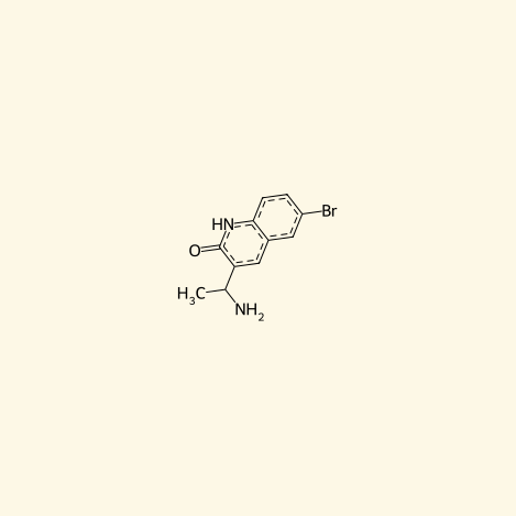 CC(N)c1cc2cc(Br)ccc2[nH]c1=O